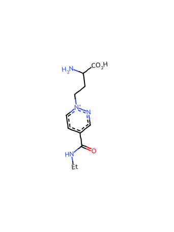 CCNC(=O)c1cc[n+](CCC(N)C(=O)O)nc1